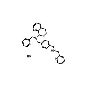 Br.c1ccc(CNCc2ccc(CN(Cc3ccccn3)C3CCCc4cccnc43)cc2)nc1